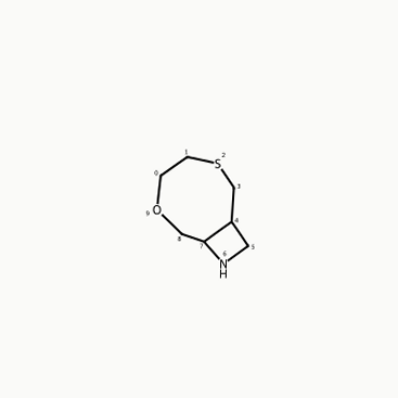 C1CSCC2CNC2CO1